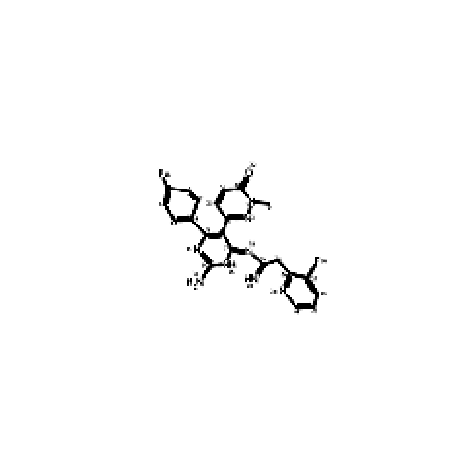 Cn1nc(-c2c(-c3ccc(F)cc3)nc(N)[nH]/c2=N\C(=N)Cc2ncccc2F)ccc1=O